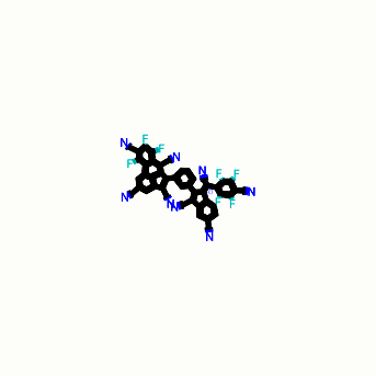 N#CC1=C(c2cccc(C3=C(C#N)c4cc(C#N)cc5c4c3c(C#N)c3c(F)c(F)c(C#N)c(F)c35)c2)/C(=C(\C#N)c2c(F)c(F)c(C#N)c(F)c2F)c2ccc(C#N)cc21